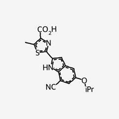 Cc1sc(-c2cc3cc(OC(C)C)cc(C#N)c3[nH]2)nc1C(=O)O